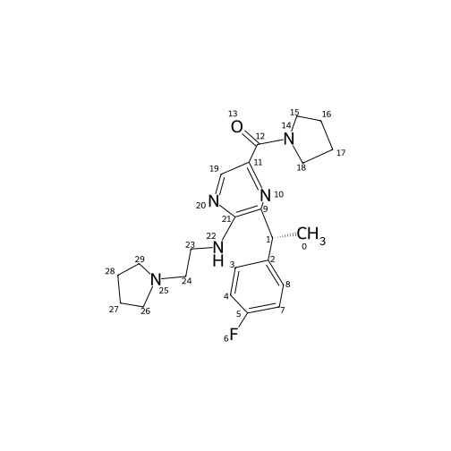 C[C@H](c1ccc(F)cc1)c1nc(C(=O)N2CCCC2)cnc1NCCN1CCCC1